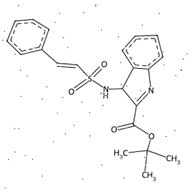 CC(C)(C)OC(=O)C1=Nc2ccccc2C1NS(=O)(=O)/C=C/c1ccccc1